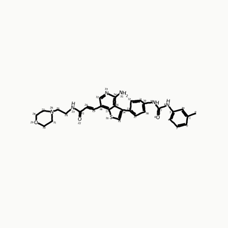 Cc1cccc(NC(=O)Nc2ccc(-c3csc4c(C=CC(=O)NCCN5CCOCC5)cnc(N)c34)cc2)c1